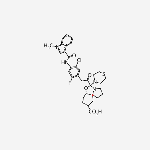 Cn1cc(C(=O)Nc2cc(F)c(CC(=O)C(O[C@H]3CC[C@H](C(=O)O)CC3)(N3CCCC3)N3CCSCC3)cc2Cl)c2ccccc21